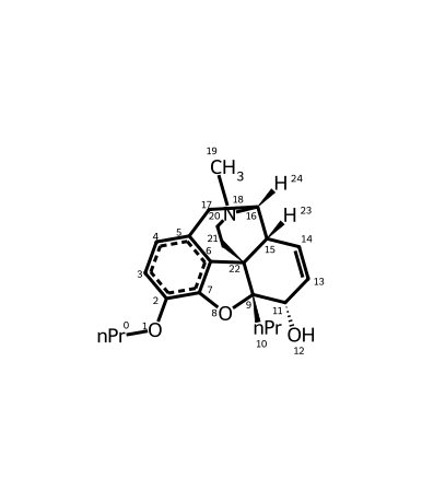 CCCOc1ccc2c3c1O[C@@]1(CCC)[C@@H](O)C=C[C@H]4[C@@H](C2)N(C)CC[C@@]341